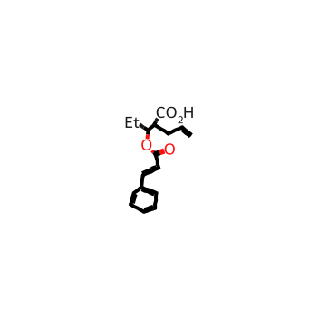 C=CCC(C(=O)O)C(CC)OC(=O)C=Cc1ccccc1